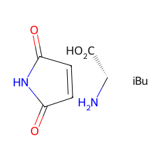 CC[C@H](C)[C@H](N)C(=O)O.O=C1C=CC(=O)N1